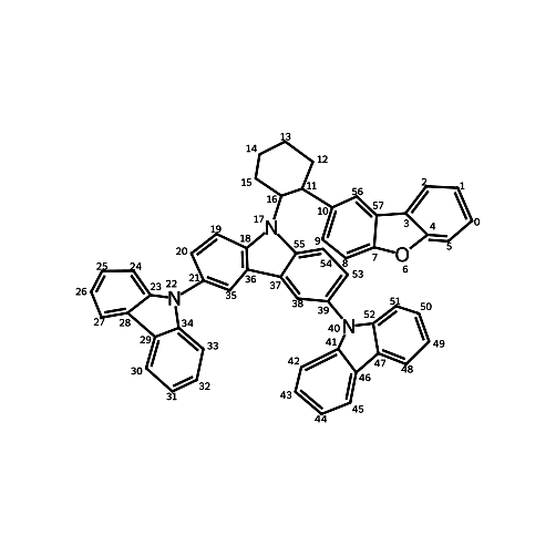 c1ccc2c(c1)oc1ccc(C3CCCCC3n3c4ccc(-n5c6ccccc6c6ccccc65)cc4c4cc(-n5c6ccccc6c6ccccc65)ccc43)cc12